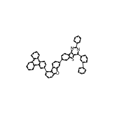 c1ccc(-c2cccc(-c3nc(-c4ccccc4)nc4c3sc3cc(-c5ccc6c(c5)oc5cccc(-c7ccc8c9ccccc9c9ccccc9c8c7)c56)ccc34)c2)cc1